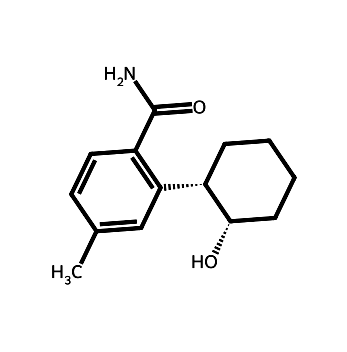 Cc1ccc(C(N)=O)c([C@@H]2CCCC[C@@H]2O)c1